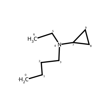 [CH2]CCCN(CC)C1CC1